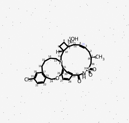 C[C@@H]1C/C=C\[C@@H](O)[C@@H]2CC[C@H]2CN2CCCCc3cc(Cl)ccc3COc3ccc(cc32)C(=O)NS(=O)(=O)C1